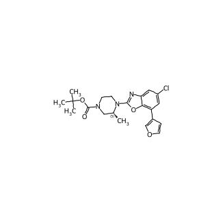 C[C@H]1CN(C(=O)OC(C)(C)C)CCN1c1nc2cc(Cl)cc(-c3ccoc3)c2o1